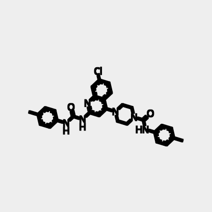 Cc1ccc(NC(=O)Nc2cc(N3CCN(C(=O)Nc4ccc(C)cc4)CC3)c3ccc(Cl)cc3n2)cc1